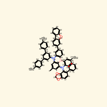 Cc1cc2c3c(c1)N(c1c(-c4ccccc4)ccc4c1OCO4)c1ccc(C(C)(C)C)cc1B3c1ccc(-c3ccc4c(c3)oc3ccccc34)cc1N2c1cc(-c2ccc(C(C)(C)C)cc2)cc(-c2ccc(C(C)(C)C)cc2)c1